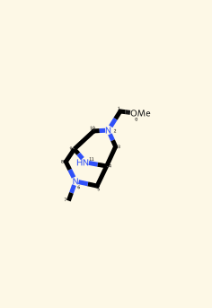 COCN1CC2CN(C)CC(C1)N2